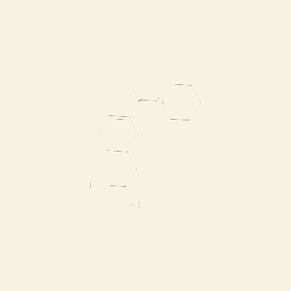 CC(C)Cc1cccc(C(=O)N2CCCCC2)c1